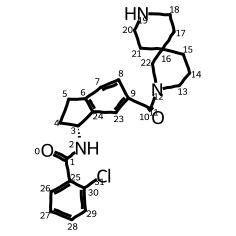 O=C(N[C@@H]1CCc2ccc(C(=O)N3CCCC4(CCNCC4)C3)cc21)c1ccccc1Cl